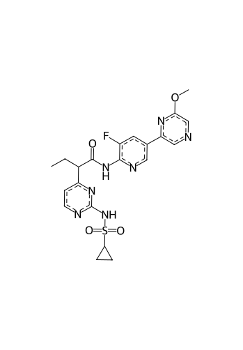 CCC(C(=O)Nc1ncc(-c2cncc(OC)n2)cc1F)c1ccnc(NS(=O)(=O)C2CC2)n1